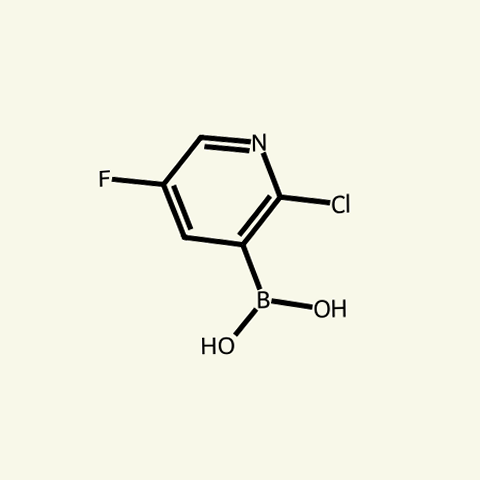 OB(O)c1cc(F)cnc1Cl